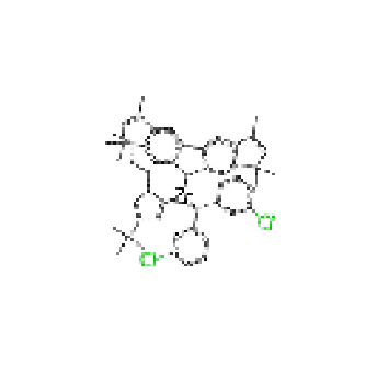 CCCCC1C=C(C(C)(C)C)C=[C]1[Zr](=[C](c1cccc(Cl)c1)c1cccc(Cl)c1)[CH]1c2cc3c(cc2-c2cc4c(cc21)C(C)(C)C=C4C)C(C)=CC3(C)C